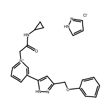 O=C(C[n+]1cccc(-c2cc(COc3ccccc3)n[nH]2)c1)NC1CC1.[Cl-].c1cn[nH]c1